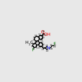 Cc1cc(F)ccc1C1=C(c2ccc(C=C3CN(CCCF)C3)cc2)c2ccc(C(=O)O)cc2CCC1